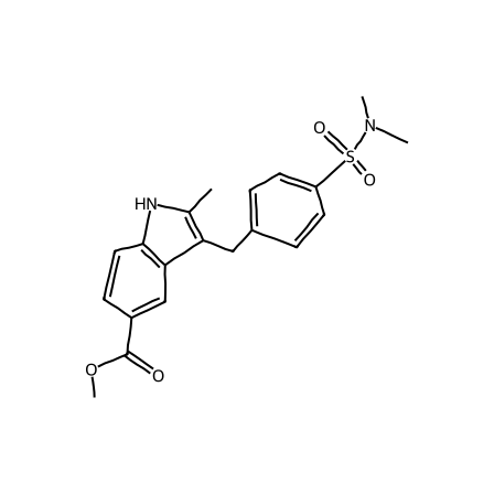 COC(=O)c1ccc2[nH]c(C)c(Cc3ccc(S(=O)(=O)N(C)C)cc3)c2c1